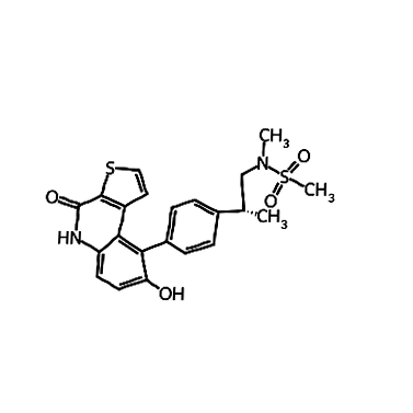 C[C@@H](CN(C)S(C)(=O)=O)c1ccc(-c2c(O)ccc3[nH]c(=O)c4sccc4c23)cc1